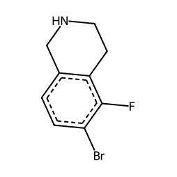 Fc1c(Br)ccc2c1CCNC2